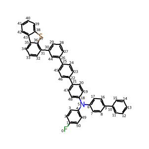 Fc1ccc(N(c2ccc(-c3ccccc3)cc2)c2ccc(-c3ccc(-c4cccc(-c5cccc6c5sc5ccccc56)c4)cc3)cc2)cc1